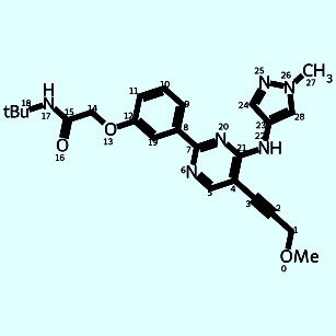 COCC#Cc1cnc(-c2cccc(OCC(=O)NC(C)(C)C)c2)nc1Nc1cnn(C)c1